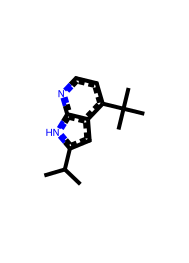 CC(C)c1cc2c(C(C)(C)C)ccnc2[nH]1